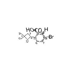 CC1(C)CC(c2ccc(Br)cc2)C1.O=C(O)O